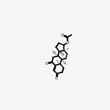 CC(=O)OC1CC[C@H]2[C@@H]3CC(=O)C4=CC(=O)CC[C@]4(C)[C@@H]3CC[C@]12C